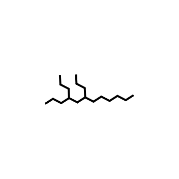 CCCCCCC([CH]C(CCC)CCC)CCC